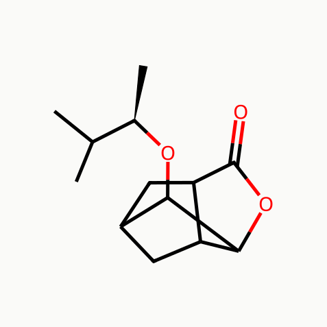 CC(C)[C@@H](C)OC1C2CC3C(=O)OC1C3C2